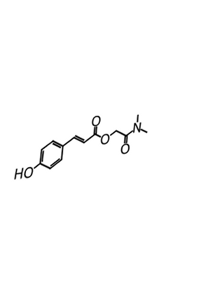 CN(C)C(=O)COC(=O)C=Cc1ccc(O)cc1